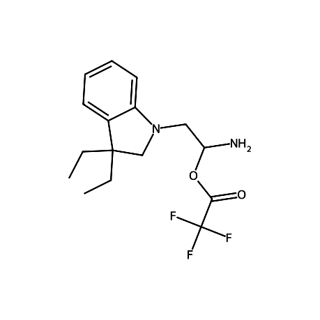 CCC1(CC)CN(CC(N)OC(=O)C(F)(F)F)c2ccccc21